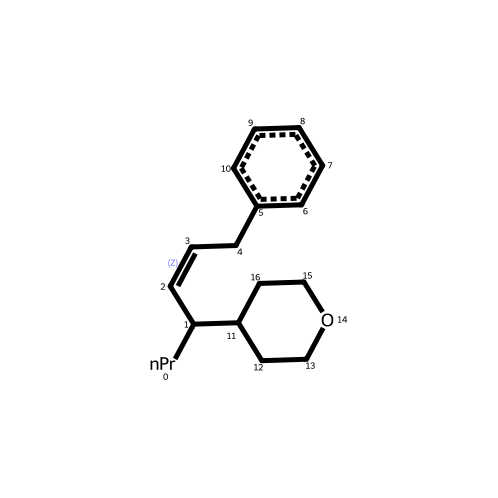 CCC[C](/C=C\Cc1ccccc1)C1CCOCC1